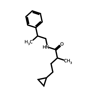 CC(CCC1CC1)C(=O)NCC(C)c1ccccc1